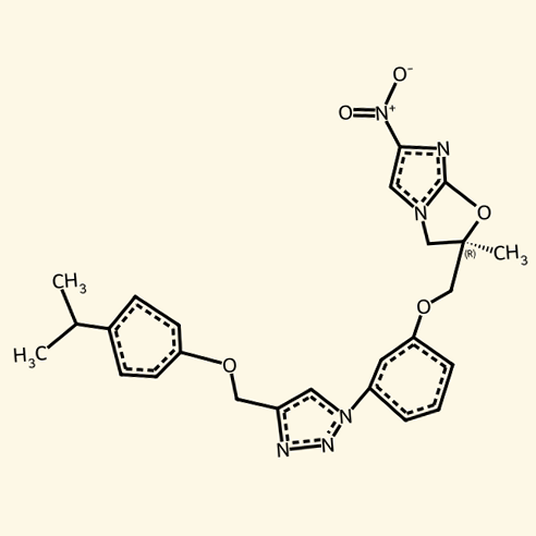 CC(C)c1ccc(OCc2cn(-c3cccc(OC[C@@]4(C)Cn5cc([N+](=O)[O-])nc5O4)c3)nn2)cc1